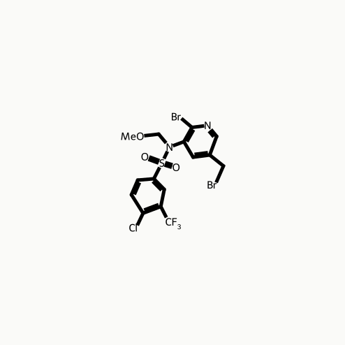 COCN(c1cc(CBr)cnc1Br)S(=O)(=O)c1ccc(Cl)c(C(F)(F)F)c1